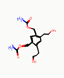 NC(=O)OCc1cc(COC(N)=O)c(CCO)cc1CCO